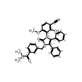 COc1ccc(C#N)c(C)c1-n1c(-c2ccccc2)c(-c2ccccc2)n(Cc2cccc(C(=O)N(C)C)c2)c1=O